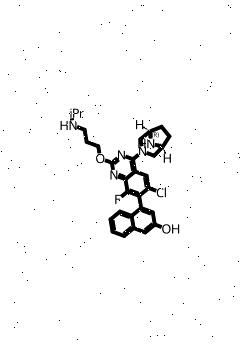 CC(C)NCCCOc1nc(N2C[C@H]3CC[C@@H](C2)N3)c2cc(Cl)c(-c3cc(O)cc4ccccc34)c(F)c2n1